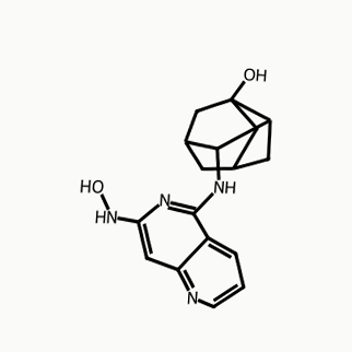 ONc1cc2ncccc2c(NC2C3CC4CC2C(O)(C4)C3)n1